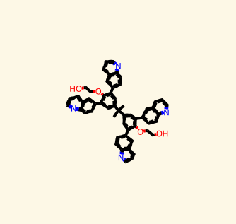 CC(C)(c1cc(-c2ccc3ncccc3c2)c(OCCO)c(-c2ccc3ncccc3c2)c1)c1cc(-c2ccc3ncccc3c2)c(OCCO)c(-c2ccc3ncccc3c2)c1